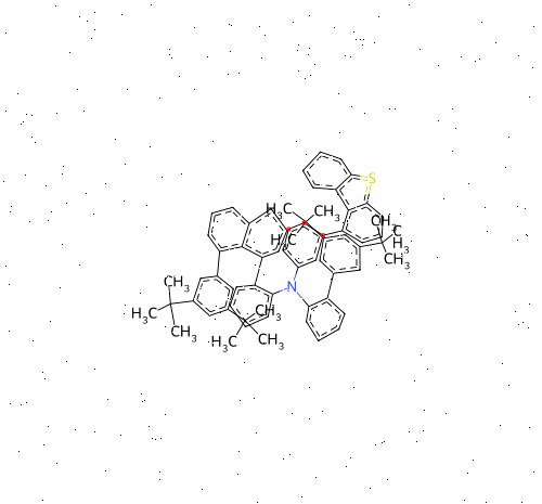 CC(C)(C)c1cc(-c2ccccc2N(c2cccc(-c3cccc4sc5ccccc5c34)c2)c2ccccc2-c2cccc3cccc(-c4cc(C(C)(C)C)cc(C(C)(C)C)c4)c23)cc(C(C)(C)C)c1